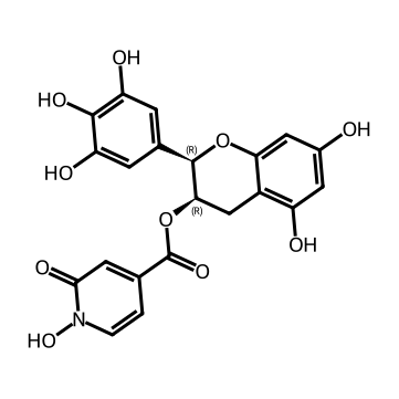 O=C(O[C@@H]1Cc2c(O)cc(O)cc2O[C@@H]1c1cc(O)c(O)c(O)c1)c1ccn(O)c(=O)c1